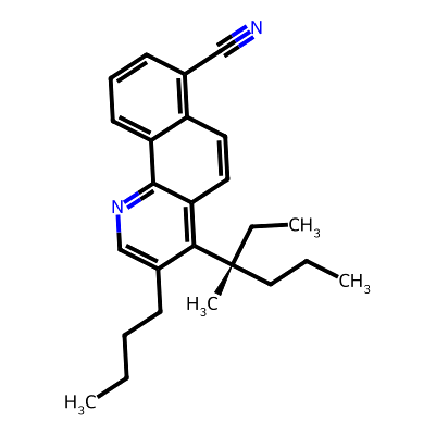 CCCCc1cnc2c(ccc3c(C#N)cccc32)c1[C@](C)(CC)CCC